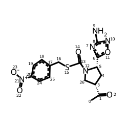 CC(=O)[C@H]1C[C@@H](c2nc(N)no2)N(C(=O)SCc2ccc([N+](=O)[O-])cc2)C1